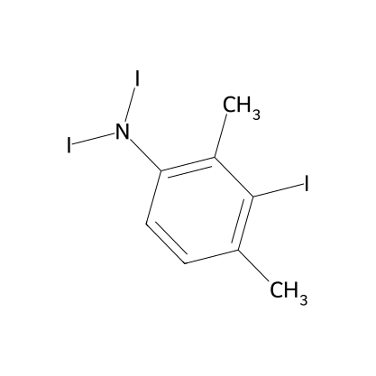 Cc1ccc(N(I)I)c(C)c1I